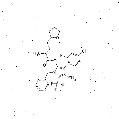 Cc1c(-c2ccc(Cl)cc2F)c(OC(=O)N(C)CCC2CCCO2)n(Cc2ccccc2)c1C(F)(F)F